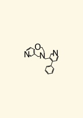 c1ccc(-c2ccncc2CN2CCOc3ccncc3C2)cc1